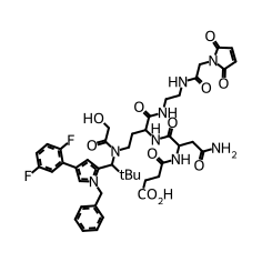 CC(C)(C)C(c1cc(-c2cc(F)ccc2F)cn1Cc1ccccc1)N(CCC(NC(=O)C(CC(N)=O)NC(=O)CCC(=O)O)C(=O)NCCNC(=O)CN1C(=O)C=CC1=O)C(=O)CO